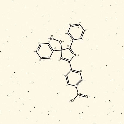 O=[N+]([O-])c1ccc(C2=NC(OO)(c3ccccc3)C(c3ccccc3)=N2)cc1